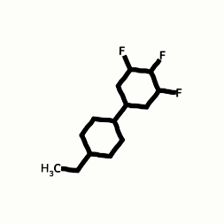 CCC1CCC(C2CC(F)C(F)C(F)C2)CC1